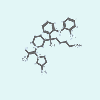 COCCCC[C@@](O)(c1ccccc1Oc1ccccc1C)C1CCCN(C(=C(I)[N+](=O)[O-])N2CCC(N)C2)C1